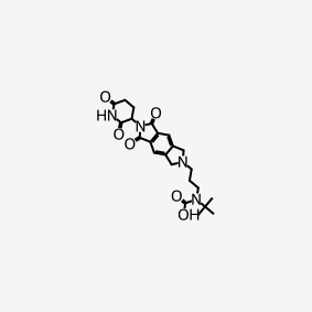 CC(C)(C)N(CCCN1Cc2cc3c(cc2C1)C(=O)N(C1CCC(=O)NC1=O)C3=O)C(=O)O